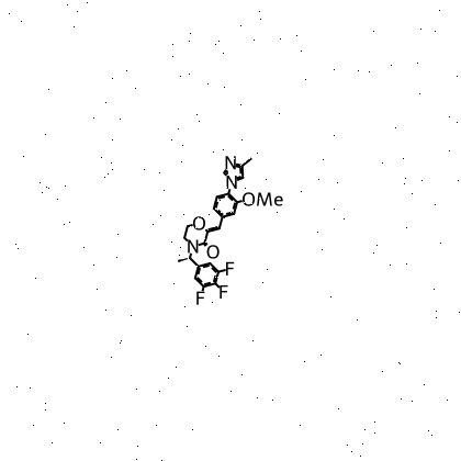 COc1cc(C=C2OCCN([C@H](C)c3cc(F)c(F)c(F)c3)C2=O)ccc1-n1cnc(C)c1